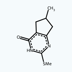 CSc1nc2c(c(=O)[nH]1)CC(C)C2